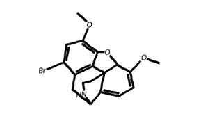 COC1=CC=C2C3Cc4c(Br)cc(OC)c5c4C2(CCN3)C1O5